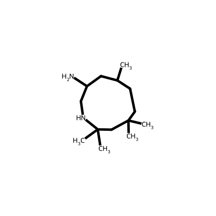 CC1CCC(C)(C)CC(C)(C)NCC(N)C1